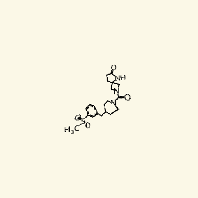 CS(=O)(=O)c1cccc(CC2CCN(C(=O)N3CC4(CCC(=O)N4)C3)CC2)c1